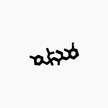 C=CC(=C\c1cccc(F)c1C)/C(C)=C/C(C)(Cc1ccc(C)cc1)CC(C)C